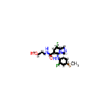 CSc1ccc(Nc2c(C(=O)NCCCO)cc(F)c3cncn23)c(F)c1